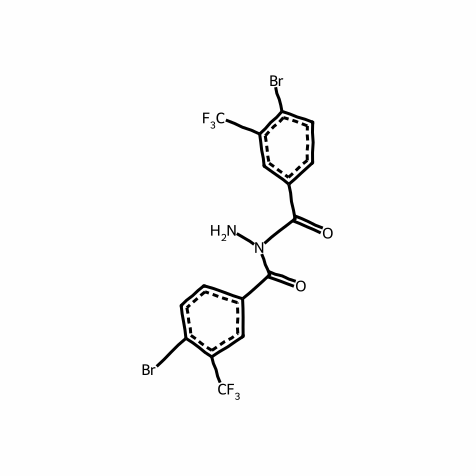 NN(C(=O)c1ccc(Br)c(C(F)(F)F)c1)C(=O)c1ccc(Br)c(C(F)(F)F)c1